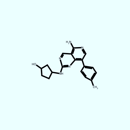 Cc1ccc(-c2cnc(N)c3cnc(NC4CCC(O)C4)nc23)cc1